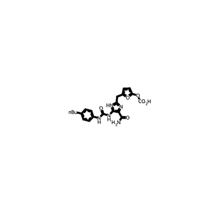 CCCCc1ccc(NC(=O)Nc2[nH]c(Cc3ccc(OC(=O)O)o3)nc2C(N)=O)cc1